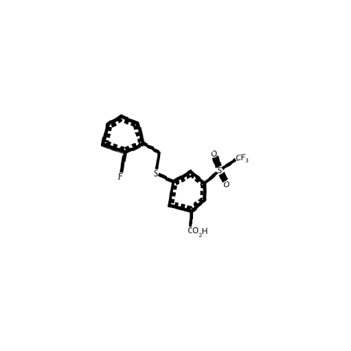 O=C(O)c1cc(SCc2ccccc2F)cc(S(=O)(=O)C(F)(F)F)c1